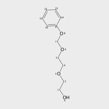 OCCOCCOCOc1ccccc1